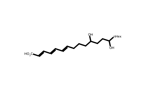 CCCCCCC(O)CCC(O)CCCC=CC=CC=CC(=O)O